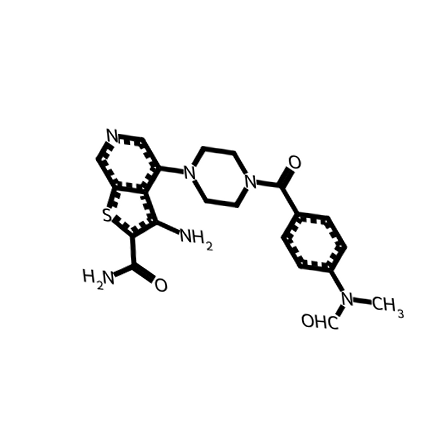 CN(C=O)c1ccc(C(=O)N2CCN(c3cncc4sc(C(N)=O)c(N)c34)CC2)cc1